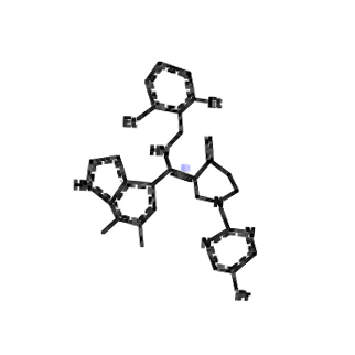 C=C1CCN(c2ncc(C(C)C)cn2)C/C1=C(/NCc1c(CC)cccc1CC)c1cc(C)c(C)c2[nH]ccc12